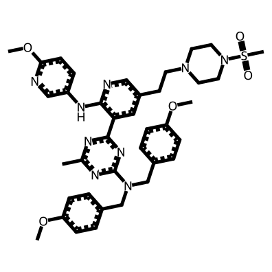 COc1ccc(CN(Cc2ccc(OC)cc2)c2nc(C)nc(-c3cc(CCN4CCN(S(C)(=O)=O)CC4)cnc3Nc3ccc(OC)nc3)n2)cc1